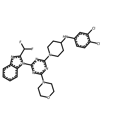 FC(F)c1nc2ccccc2n1-c1nc(N2CCOCC2)nc(N2CCC(Nc3ccc(Cl)c(Cl)c3)CC2)n1